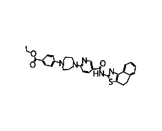 CCOC(=O)c1ccc(N2CCN(c3ccc(C(=O)Nc4nc5c(s4)CCc4ccccc4-5)cn3)CC2)cc1